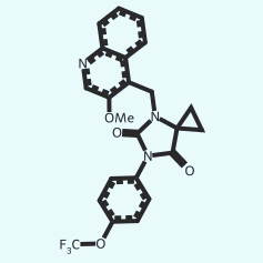 COc1cnc2ccccc2c1CN1C(=O)N(c2ccc(OC(F)(F)F)cc2)C(=O)C12CC2